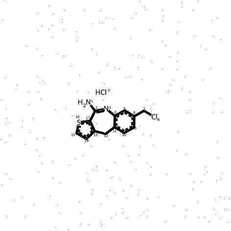 Cl.NC1=Nc2cc(CCl)ccc2Cc2ccsc21